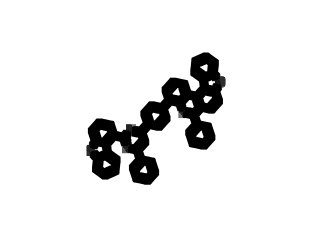 c1ccc(-c2cc(-c3ccc(-c4cccc5c4nc(-c4ccccc4)c4ccc6oc7ccccc7c6c45)cc3)nc(-c3cccc4sc5ccccc5c34)n2)cc1